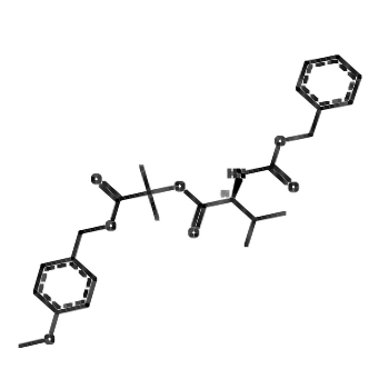 COc1ccc(COC(=O)C(C)(C)OC(=O)[C@@H](NC(=O)OCc2ccccc2)C(C)C)cc1